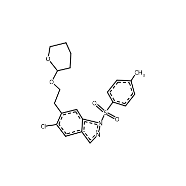 Cc1ccc(S(=O)(=O)n2ncc3cc(Cl)c(CCOC4CCCCO4)cc32)cc1